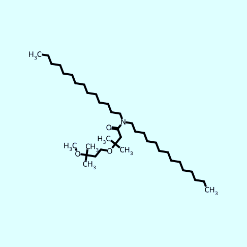 CCCCCCCCCCCCCCN(CCCCCCCCCCCCCC)C(=O)CC(C)(C)OCCC(C)(C)OC